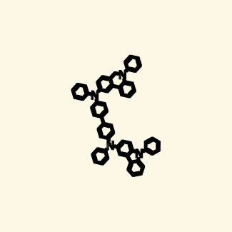 c1ccc(N2Cc3ccc(N(c4ccccc4)c4ccc(-c5ccc(N(c6ccccc6)c6ccc7c(c6)c6ccccc6n7-c6ccccc6)cc5)cc4)cc3-c3ccccc32)cc1